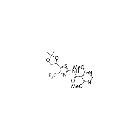 COc1ncnc(OC)c1C(=O)Nc1nc(C(F)(F)F)c(C2COC(C)(C)O2)s1